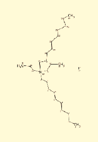 CCCCCCCCCC[N+](CCC)(CCC)CCCCCCCCCC.[I-]